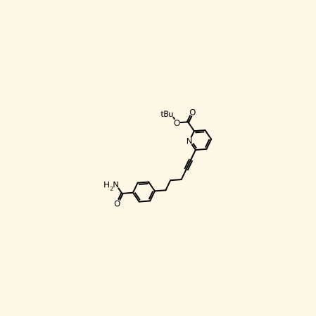 CC(C)(C)OC(=O)c1cccc(C#CCCCc2ccc(C(N)=O)cc2)n1